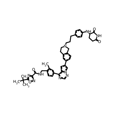 Cc1cc(-c2ncnn3cc(-c4ccc5c(c4)CCN(CCCc4ccc(NC6CCC(=O)NC6=O)cc4)C5)cc23)ccc1CNC(=O)c1noc(C(C)(C)C)n1